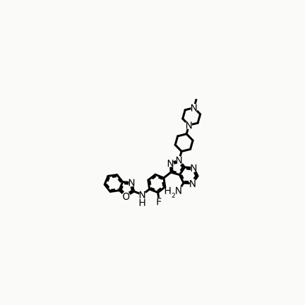 CN1CCN(C2CCC(n3nc(-c4ccc(Nc5nc6ccccc6o5)c(F)c4)c4c(N)ncnc43)CC2)CC1